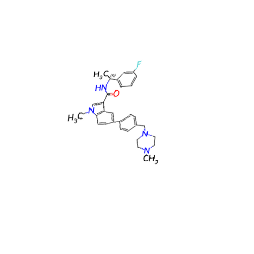 C[C@H](NC(=O)c1cn(C)c2ccc(-c3ccc(CN4CCN(C)CC4)cc3)cc12)c1cccc(F)c1